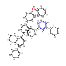 C1=CCC(c2nc(-c3ccccc3)nc(-c3cccc4oc5ccc(-c6ccc(-c7ccc(-c8ccccc8)c8ccccc78)cc6)cc5c34)n2)C=C1